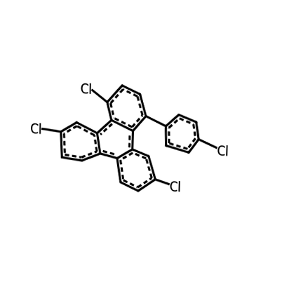 Clc1ccc(-c2ccc(Cl)c3c4cc(Cl)ccc4c4ccc(Cl)cc4c23)cc1